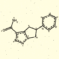 NC(=O)c1nnn2c1CC(c1ccccc1)C2